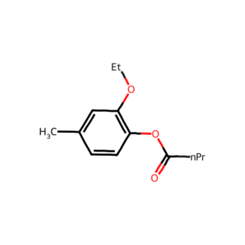 CCCC(=O)Oc1ccc(C)cc1OCC